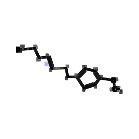 FC(F)(F)Oc1ccc(CC/C=C/CCBr)cc1